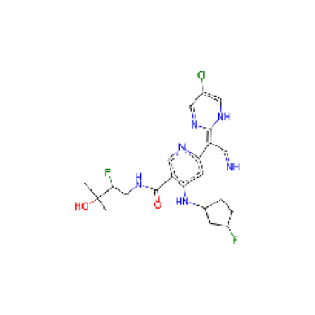 CC(C)(O)C(F)CNC(=O)c1cnc(/C(C=N)=C2\N=CC(Cl)=CN2)cc1NC1CCC(F)C1